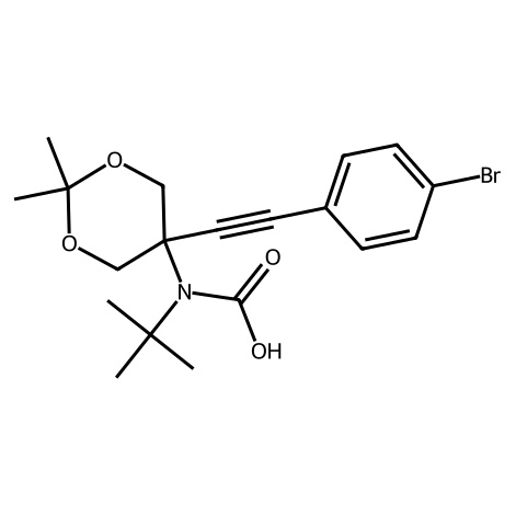 CC1(C)OCC(C#Cc2ccc(Br)cc2)(N(C(=O)O)C(C)(C)C)CO1